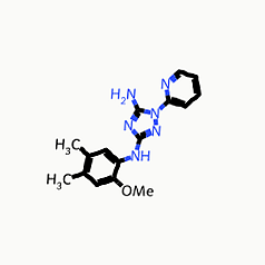 COc1cc(C)c(C)cc1Nc1nc(N)n(-c2ccccn2)n1